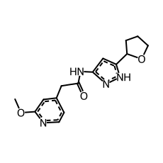 COc1cc(CC(=O)Nc2cc(C3CCCO3)[nH]n2)ccn1